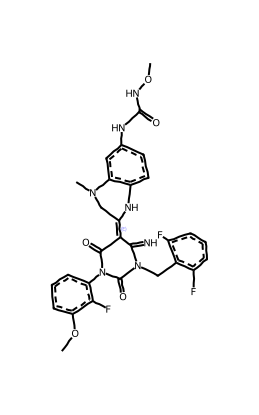 CONC(=O)Nc1ccc2c(c1)N(C)C/C(=C1/C(=N)N(Cc3c(F)cccc3F)C(=O)N(c3cccc(OC)c3F)C1=O)N2